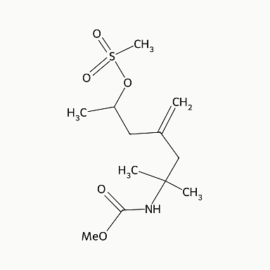 C=C(CC(C)OS(C)(=O)=O)CC(C)(C)NC(=O)OC